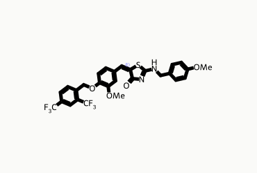 COc1ccc(CNC2=NC(=O)/C(=C\c3ccc(OCc4ccc(C(F)(F)F)cc4C(F)(F)F)c(OC)c3)S2)cc1